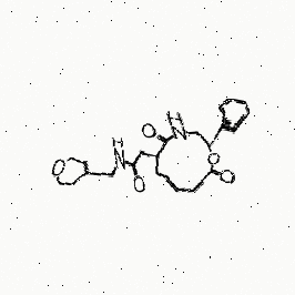 O=C(C[C@@H]1C/C=C/CCC(=O)O[C@H](c2ccccc2)CNC1=O)NCC1CCOCC1